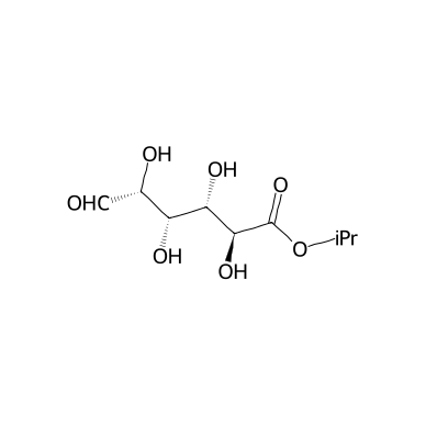 CC(C)OC(=O)[C@@H](O)[C@@H](O)[C@H](O)[C@@H](O)C=O